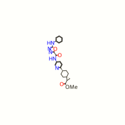 COC(=O)C1C[C@]12CC[C@H](c1ccc(NC(=O)c3nnc(Nc4ccccc4)o3)cn1)CC2